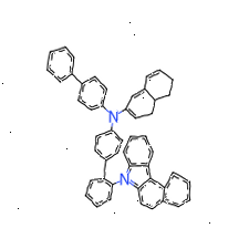 C1=CC2=CC(N(c3ccc(-c4ccccc4)cc3)c3ccc(-c4ccccc4-n4c5ccccc5c5c6ccccc6ccc54)cc3)=CCC2CC1